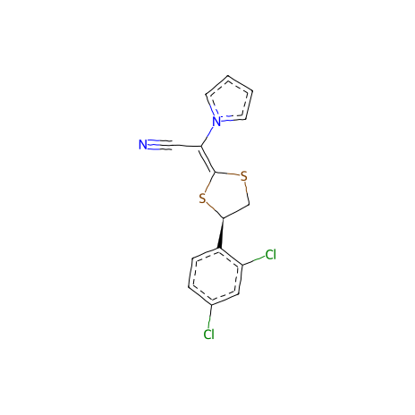 N#C/C(=C1/SC[C@@H](c2ccc(Cl)cc2Cl)S1)n1cccc1